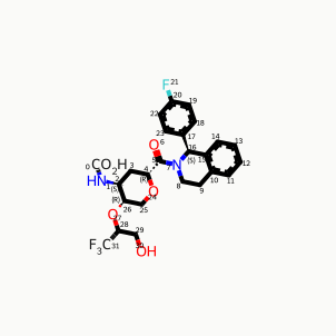 O=C(O)N[C@H]1C[C@H](C(=O)N2CCc3ccccc3[C@@H]2c2ccc(F)cc2)OC[C@@H]1OC(CO)C(F)(F)F